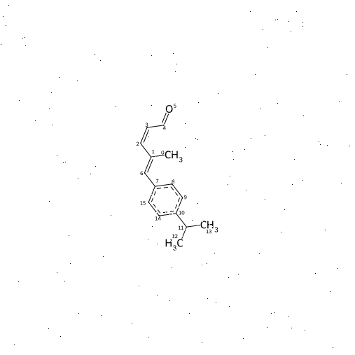 CC(/C=C\C=O)=C\c1ccc(C(C)C)cc1